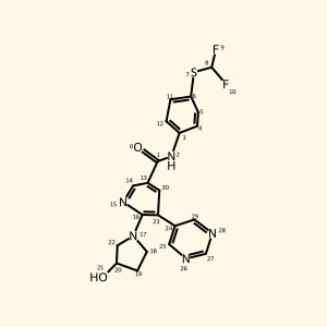 O=C(Nc1ccc(SC(F)F)cc1)c1cnc(N2CCC(O)C2)c(-c2cncnc2)c1